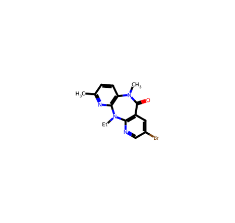 CCN1c2ncc(Br)cc2C(=O)N(C)c2ccc(C)nc21